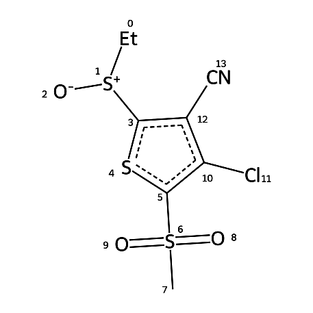 CC[S+]([O-])c1sc(S(C)(=O)=O)c(Cl)c1C#N